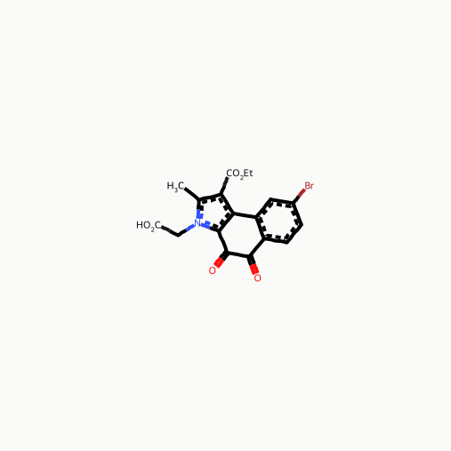 CCOC(=O)c1c2c(n(CC(=O)O)c1C)C(=O)C(=O)c1ccc(Br)cc1-2